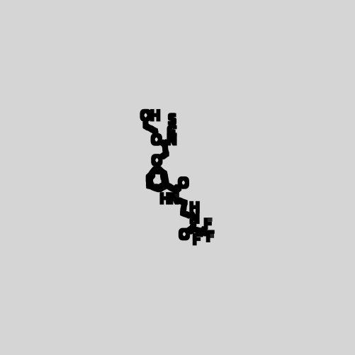 O=C(NCCNC(=O)C(F)(F)F)c1cccc(OCC(N=C=S)OCCO)c1